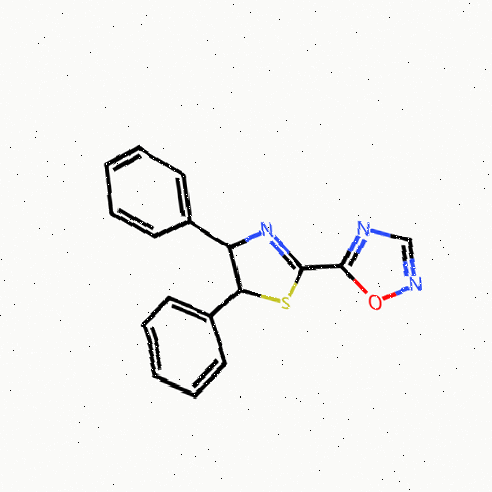 c1ccc(C2N=C(c3ncno3)SC2c2ccccc2)cc1